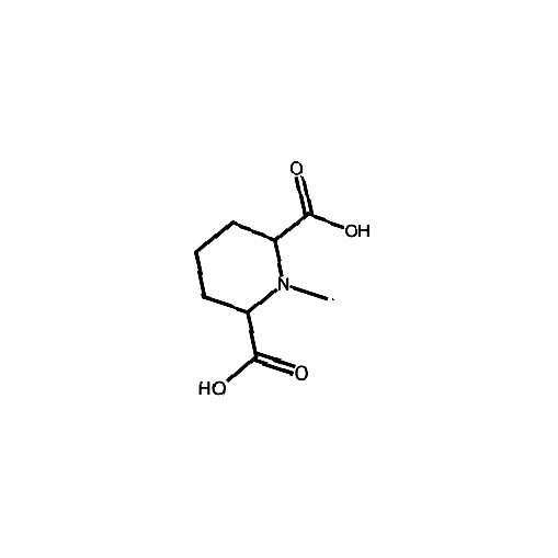 [CH2]N1C(C(=O)O)CCCC1C(=O)O